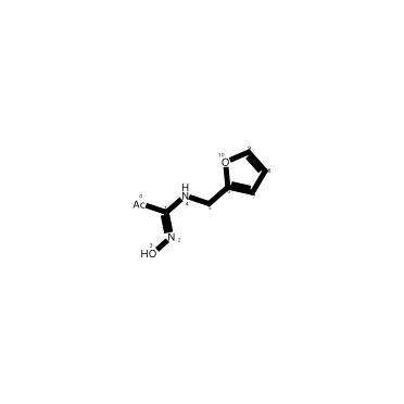 CC(=O)C(=NO)NCc1ccco1